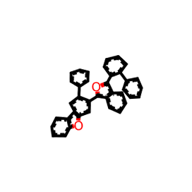 c1ccc(-c2ccccc2-c2oc(-c3cc4oc5ccccc5c4cc3-c3ccccc3)c3ccccc23)cc1